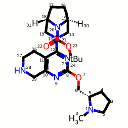 CN1CCC[C@H]1COc1nc2c(c(N3C[C@@H]4CC[C@@H](C3)N4C(=O)OC(C)(C)C)n1)CCNC2